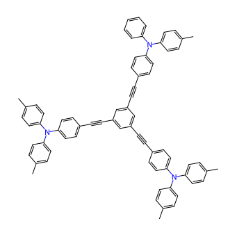 Cc1ccc(N(c2ccccc2)c2ccc(C#Cc3cc(C#Cc4ccc(N(c5ccc(C)cc5)c5ccc(C)cc5)cc4)cc(C#Cc4ccc(N(c5ccc(C)cc5)c5ccc(C)cc5)cc4)c3)cc2)cc1